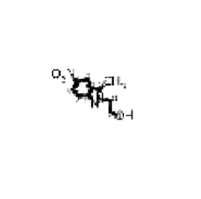 Cc1c2cc([N+](=O)[O-])ccc2nn1CCO